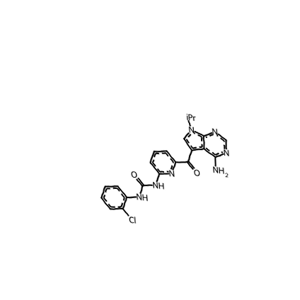 CC(C)n1cc(C(=O)c2cccc(NC(=O)Nc3ccccc3Cl)n2)c2c(N)ncnc21